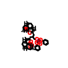 C[C@H]1[C@@H](CC(COP(=O)(Oc2ccccc2)Oc2ccccc2)C[C@H]2O[C@@H]3O[C@]4(C)CC[C@H]5[C@H](C)CC[C@@H]([C@H]2C)[C@@]35OO4)O[C@@H]2O[C@]3(C)CC[C@H]4[C@H](C)CC[C@@H]1[C@@]24OO3